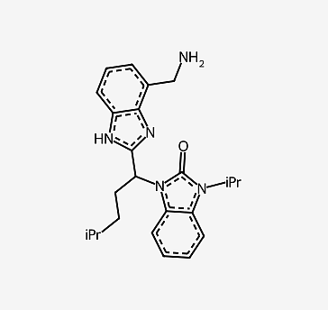 CC(C)CCC(c1nc2c(CN)cccc2[nH]1)n1c(=O)n(C(C)C)c2ccccc21